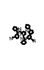 N#Cc1cccc(-n2c(-c3cc(-n4c5ccccc5c5ccccc54)cc(-c4nc5ccccc5n4-c4cccc(C#N)c4)n3)nc3ccccc32)c1